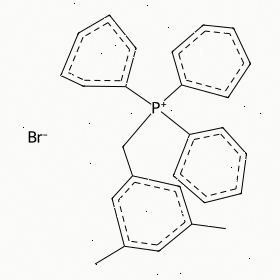 Cc1cc(C)cc(C[P+](c2ccccc2)(c2ccccc2)c2ccccc2)c1.[Br-]